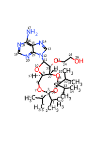 CC(C)[Si]1(C(C)C)OC[C@H]2O[C@@H](n3cnc4c(N)ncnc43)[C@H](OCCO)[C@@H]2O[Si](C(C)C)(C(C)C)O1